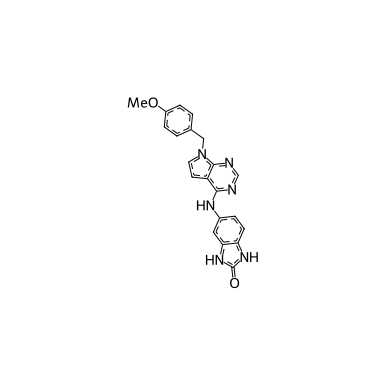 COc1ccc(Cn2ccc3c(Nc4ccc5[nH]c(=O)[nH]c5c4)ncnc32)cc1